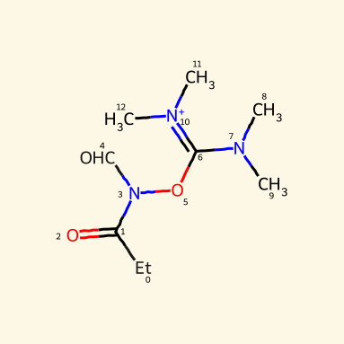 CCC(=O)N(C=O)OC(N(C)C)=[N+](C)C